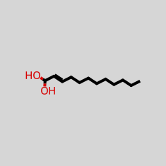 CCCCCCCCCC=CC(O)O